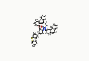 c1ccc(-c2ccc(N(c3ccc(-c4ccc5sc6ccccc6c5c4)cc3)c3ccc4ccc5ccccc5c4c3)c3oc4ccccc4c23)cc1